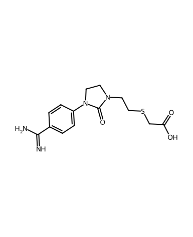 N=C(N)c1ccc(N2CCN(CCSCC(=O)O)C2=O)cc1